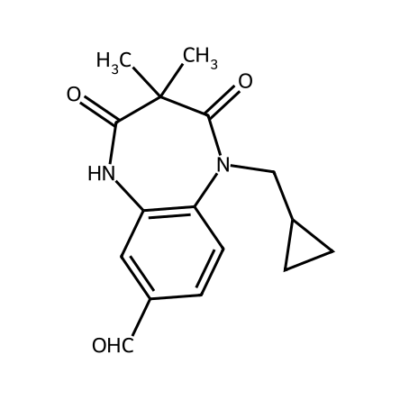 CC1(C)C(=O)Nc2cc(C=O)ccc2N(CC2CC2)C1=O